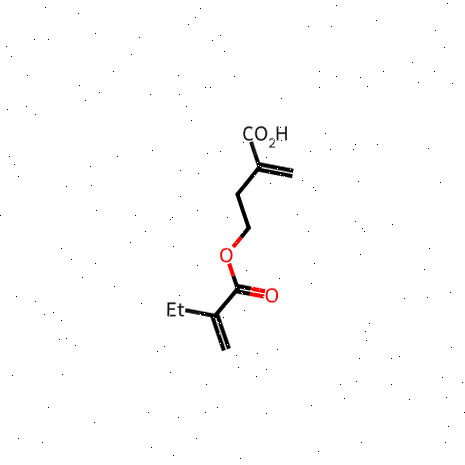 C=C(CCOC(=O)C(=C)CC)C(=O)O